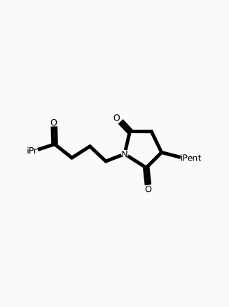 CCCC(C)C1CC(=O)N(CCCC(=O)C(C)C)C1=O